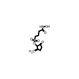 C=C1CCC(=O)C1OS(=O)(=O)CCCC(=O)NO